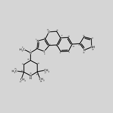 CN(c1nc2c(s1)-c1ccc(-c3cc[nH]n3)cc1CO2)C1CC(C)(C)NC(C)(C)C1